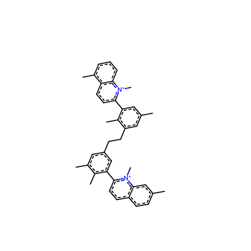 Cc1cc(CCc2cc(C)c(C)c(-c3ccc4ccc(C)cc4[n+]3C)c2)c(C)c(-c2ccc3c(C)cccc3[n+]2C)c1